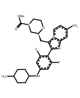 COC(=O)N1CCO[C@@H](Cc2c(-c3c(F)cc(NC4CCC(C)CC4)cc3F)nc3cc(C)ccn23)C1